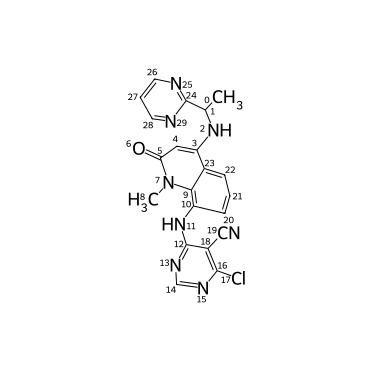 CC(Nc1cc(=O)n(C)c2c(Nc3ncnc(Cl)c3C#N)cccc12)c1ncccn1